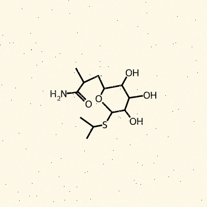 CC(C)SC1OC([CH]C(C)C(N)=O)C(O)C(O)C1O